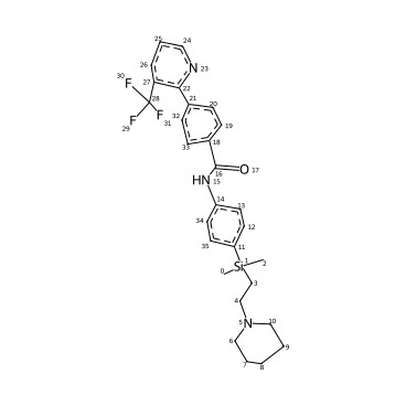 C[Si](C)(CCN1CCCCC1)c1ccc(NC(=O)c2ccc(-c3ncccc3C(F)(F)F)cc2)cc1